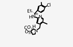 CC[C@@H](Nc1cc(CN2CC[C@@H](OC(=O)O)C2)c(C)cn1)c1ccc(Cl)c(C)c1